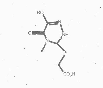 CN1C(=O)C(O)=NNC1SCC(=O)O